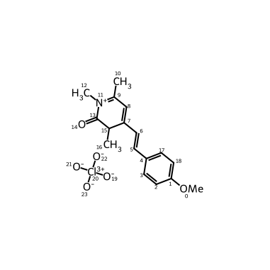 COc1ccc(C=CC2=CC(C)=[N+](C)C(=O)C2C)cc1.[O-][Cl+3]([O-])([O-])[O-]